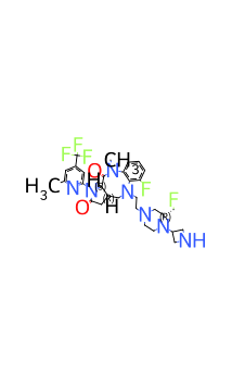 Cc1cc(C(F)(F)F)cc(N2C(=O)C[C@@H]3CN(CCN4CCN(C5CNC5)[C@@H](CF)C4)c4c(F)cccc4N(C)C(=O)[C@H]32)n1